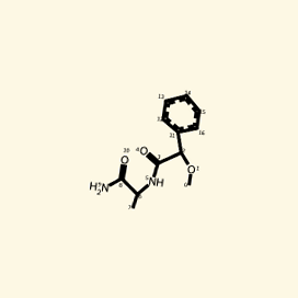 COC(C(=O)NC(C)C(N)=O)c1ccccc1